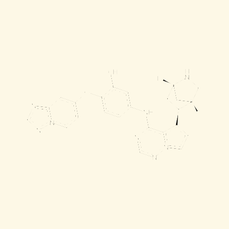 Cc1cc(Nc2ncnn3ccc([C@H]4C[C@H]5C[C@@H]4CN5)c23)ccc1Oc1ccn2ncnc2c1